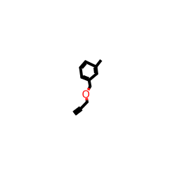 C#CCOCc1cccc(C)c1